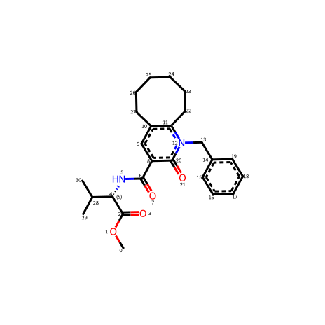 COC(=O)[C@@H](NC(=O)c1cc2c(n(Cc3ccccc3)c1=O)CCCCCC2)C(C)C